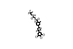 Cc1cc(C2=NSC(F)(c3cc(Cl)c(Cl)c(Cl)c3)C2)ccc1C(=O)NCC(=O)NCC(F)(F)F